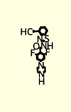 C#Cc1cccc2sc(NC(=O)c3c(F)cc(N4CCNCC4)cc3F)nc12